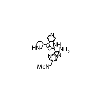 CNCc1cnc2c(C(=O)Nc3cnccc3OC3CCCNC3)c(N)nn2c1